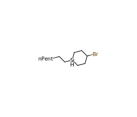 CCCCCCC[SiH]1CCC(Br)CC1